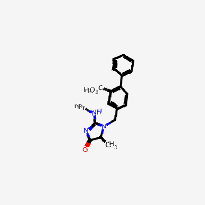 CCCNC1=NC(=O)C(C)N1Cc1ccc(-c2ccccc2)c(C(=O)O)c1